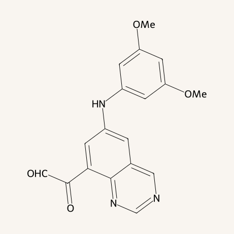 COc1cc(Nc2cc(C(=O)C=O)c3ncncc3c2)cc(OC)c1